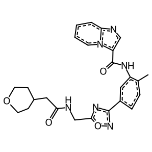 Cc1ccc(-c2noc(CNC(=O)CC3CCOCC3)n2)cc1NC(=O)c1cnc2ccccn12